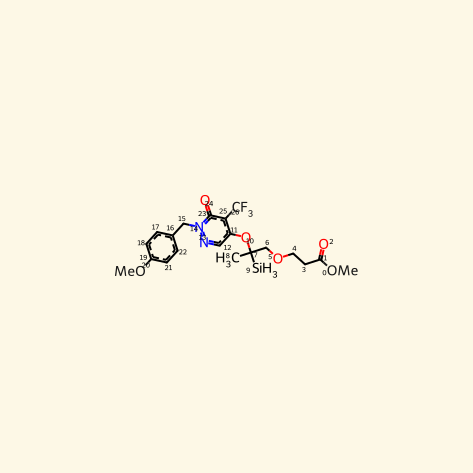 COC(=O)CCOCC(C)([SiH3])Oc1cnn(Cc2ccc(OC)cc2)c(=O)c1C(F)(F)F